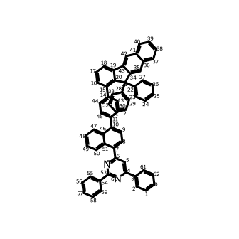 c1ccc(-c2cc(-c3ccc(-c4ccc(-c5cccc6c5C(c5ccccc5)(c5ccccc5)c5cc7ccccc7cc5-6)cc4)c4ccccc34)nc(-c3ccccc3)n2)cc1